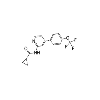 O=C(Nc1cc(-c2ccc(OC(F)(F)F)cc2)c[c]n1)C1CC1